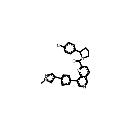 Cn1cc(-c2ccc(-c3cncc4ccc(C(=O)N5CCCC5c5ccc(Cl)cc5)nc34)cc2)cn1